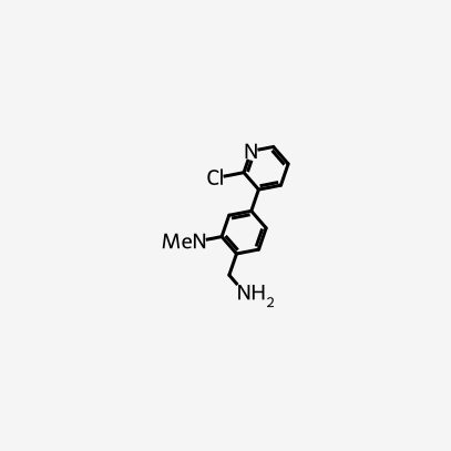 CNc1cc(-c2cccnc2Cl)ccc1CN